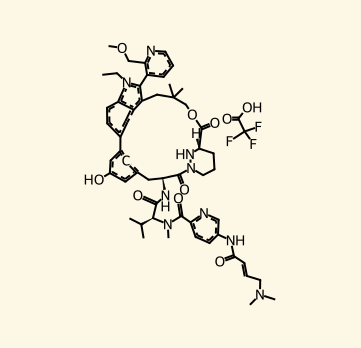 CCn1c(-c2cccnc2COC)c2c3cc(ccc31)-c1cc(O)cc(c1)C[C@H](NC(=O)[C@H](C(C)C)N(C)C(=O)c1ccc(NC(=O)/C=C/CN(C)C)cn1)C(=O)N1CCC[C@H](N1)C(=O)OCC(C)(C)C2.O=C(O)C(F)(F)F